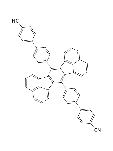 N#Cc1ccc(-c2ccc(-c3c4c5cccc6cccc(c4c(-c4ccc(-c7ccc(C#N)cc7)cc4)c4c7cccc8cccc(c34)c87)c65)cc2)cc1